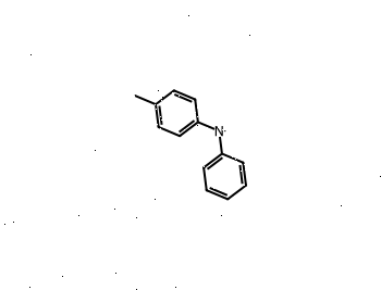 Cc1ccc([N]c2ccccc2)cc1